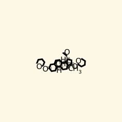 C[C@]12CC[C@H]3[C@@H](CC=C4C[C@@H](OC5CCCCO5)CC[C@@]43C)[C@@H]1[C@H](C1CO1)C[C@@H]2OC1CCCCO1